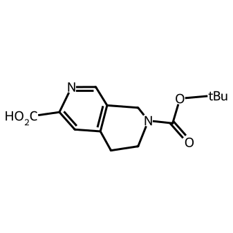 CC(C)(C)OC(=O)N1CCc2cc(C(=O)O)ncc2C1